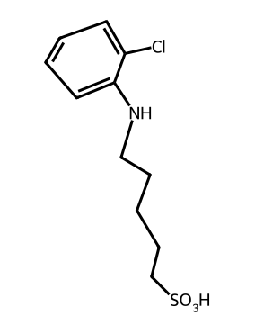 O=S(=O)(O)CCCCCNc1ccccc1Cl